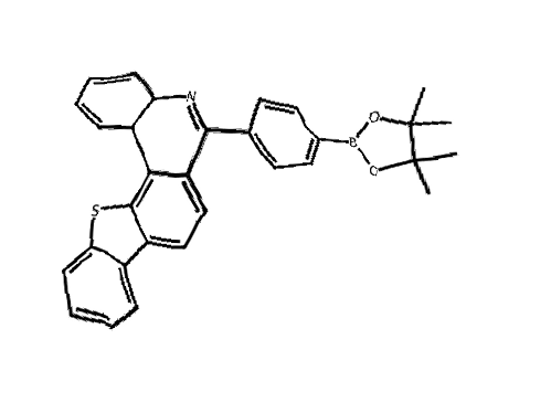 CC1(C)OB(c2ccc(C3=NC4C=CC=CC4c4c3ccc3c4sc4ccccc43)cc2)OC1(C)C